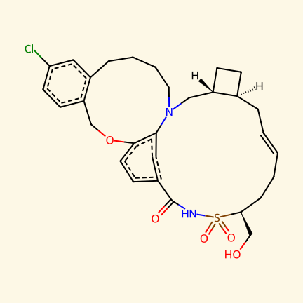 O=C1NS(=O)(=O)[C@H](CO)CC/C=C/C[C@@H]2CC[C@H]2CN2CCCCc3cc(Cl)ccc3COc3ccc1cc32